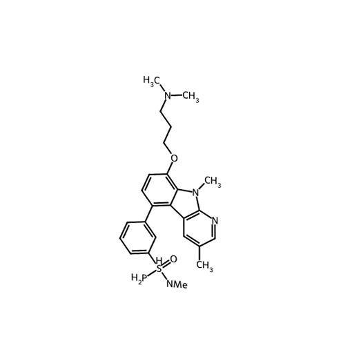 CN[SH](=O)(P)c1cccc(-c2ccc(OCCCN(C)C)c3c2c2cc(C)cnc2n3C)c1